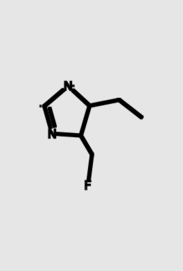 CCC1[N][C]=NC1CF